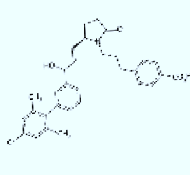 Cc1cc(Cl)cc(C)c1-c1cccc(C(O)/C=C/[C@H]2CCC(=O)N2CCCc2ccc(C(=O)O)cc2)c1